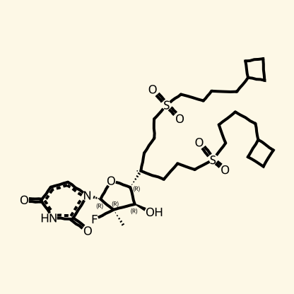 C[C@@]1(F)[C@H](O)[C@@H]([C](CCCS(=O)(=O)CCCCC2CCC2)CCCS(=O)(=O)CCCCC2CCC2)O[C@H]1n1ccc(=O)[nH]c1=O